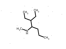 CCCC(NC)C(CC)CC